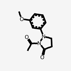 COc1cccc(N2CCC(=O)N2C(C)=O)c1